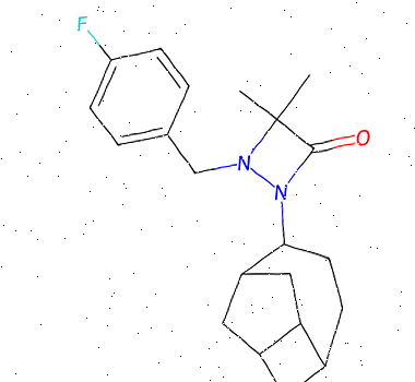 CC1(C)C(=O)N(C2CCC3CC4CC2CC34)N1Cc1ccc(F)cc1